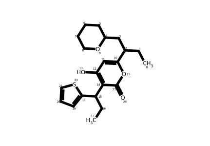 CCC(CC1CCCCO1)c1cc(O)c(C(CC)c2cccs2)c(=O)o1